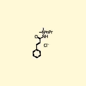 CCC[N+](C)(C)NC(=O)C=Cc1ccccc1.[Cl-]